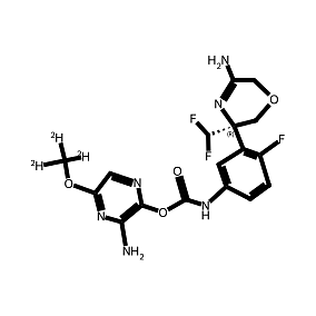 [2H]C([2H])([2H])Oc1cnc(OC(=O)Nc2ccc(F)c([C@]3(C(F)F)COCC(N)=N3)c2)c(N)n1